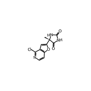 C[C@@]1(c2cc3c(Cl)nccc3o2)NC(=O)NC1=O